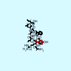 CC[C@H](C)[C@H](NC(=O)[C@H](CC(C)C)NC(=O)[C@H](Cc1c[nH]c2ccccc12)NC(=O)[C@H](C)NC(=O)[C@@H](NC(=O)[C@H](Cc1ccccc1)NC(=O)[C@H](CC(=O)O)NC(=O)[C@H](CCCNC(=N)N)NC(=O)[C@H](C)N)[C@@H](C)CC)C(=O)O